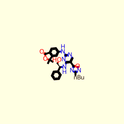 CCCCc1noc(-c2cnc(Nc3ccc4c(c3)C(C)(C)OC4=O)nc2N[C@H](CO)c2ccccc2)n1